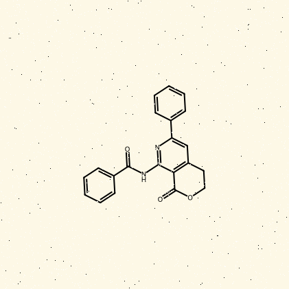 O=C(Nc1nc(-c2ccccc2)cc2c1C(=O)OCC2)c1ccccc1